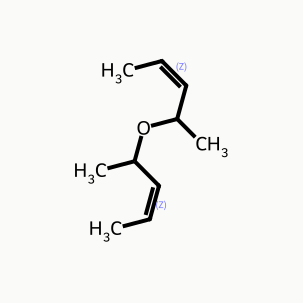 C/C=C\C(C)OC(C)/C=C\C